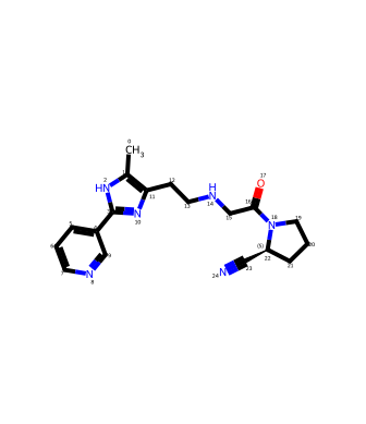 Cc1[nH]c(-c2cccnc2)nc1CCNCC(=O)N1CCC[C@H]1C#N